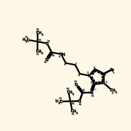 Cn1c(Br)cn(CCCNC(=O)OC(C)(C)C)/c1=N\C(=O)OC(C)(C)C